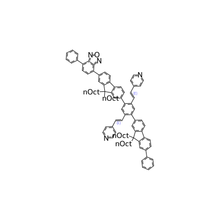 CCCCCCCCC1(CCCCCCCC)c2cc(-c3ccccc3)ccc2-c2ccc(-c3cc(/C=C/c4ccncc4)c(-c4ccc5c(c4)C(CCCCCCCC)(CCCCCCCC)c4cc(-c6ccc(-c7ccccc7)c7nonc67)ccc4-5)cc3/C=C/c3ccncc3)cc21